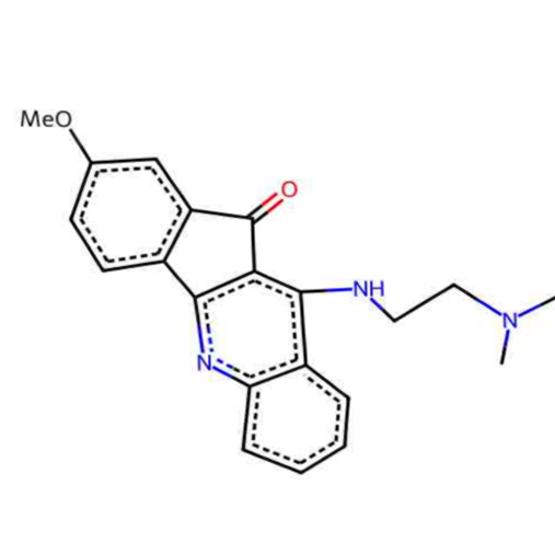 COc1ccc2c(c1)C(=O)c1c-2nc2ccccc2c1NCCN(C)C